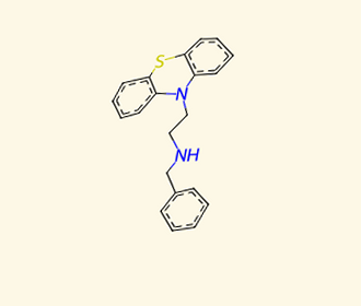 c1ccc(CNCCN2c3ccccc3Sc3ccccc32)cc1